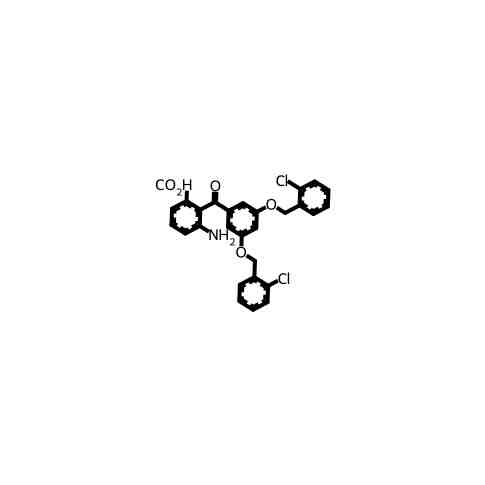 Nc1cccc(C(=O)O)c1C(=O)c1cc(OCc2ccccc2Cl)cc(OCc2ccccc2Cl)c1